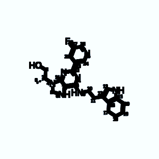 C[C@H](CO)N1CNc2c(NCCc3c[nH]c4c3CCC=C4)nc(-c3cncc(F)c3)nc21